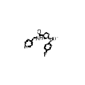 O=C(NCc1ccncc1)C1CCC([S+]([O-])c2ccc(F)cc2)C1